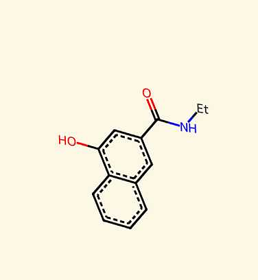 CCNC(=O)c1cc(O)c2ccccc2c1